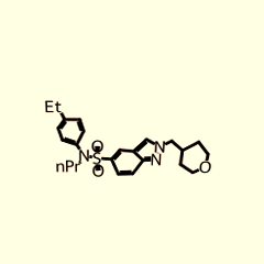 CCCN(c1ccc(CC)cc1)S(=O)(=O)c1ccc2nn(CC3CCOCC3)cc2c1